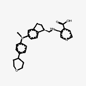 CN(c1ccc(C2CCOCC2)cc1)c1ccc2c(c1)CC[C@H]2CNc1cnccc1C(=O)O